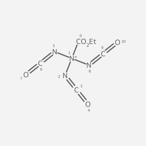 CCOC(=O)[N+](N=C=O)(N=C=O)N=C=O